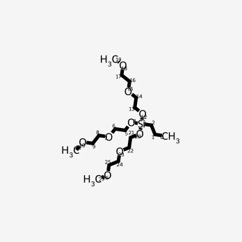 CCC[Si](OCCOCCOC)(OCCOCCOC)OCCOCCOC